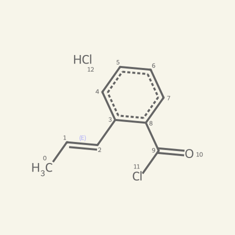 C/C=C/c1ccccc1C(=O)Cl.Cl